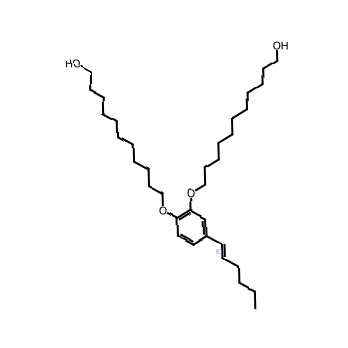 CCCC/C=C/c1ccc(OCCCCCCCCCCCO)c(OCCCCCCCCCCCO)c1